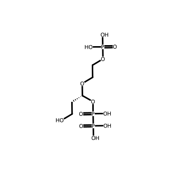 O=P(O)(O)OCCO[C@@H](CCO)OP(=O)(O)P(=O)(O)O